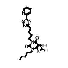 CCCCCn1c(=O)n(CCCCc2noc(-c3ccccn3)n2)c(=O)c2[nH]c(Cl)nc21